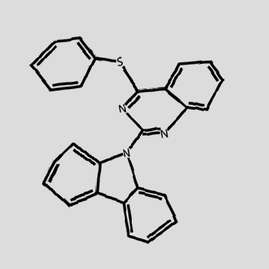 c1ccc(Sc2nc(-n3c4ccccc4c4ccccc43)nc3ccccc23)cc1